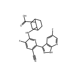 N#Cc1cc(F)c(NC2C3CCC(CC3)C2C(=O)O)nc1-c1n[nH]c2ncc(F)cc12